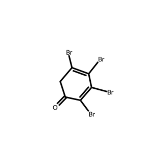 O=C1CC(Br)=C(Br)C(Br)=C1Br